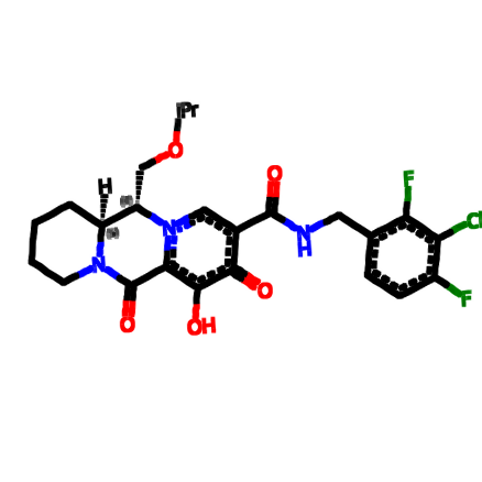 CC(C)OC[C@H]1[C@@H]2CCCCN2C(=O)c2c(O)c(=O)c(C(=O)NCc3ccc(F)c(Cl)c3F)cn21